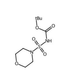 CC(C)(C)OC(=O)NS(=O)(=O)N1CCOCC1